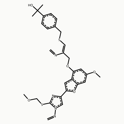 C=N/C(=C\SCc1ccc(C(C)(C)O)cc1)COc1cc(OC)cc2oc(-c3cn(N=C)c(SCOC)n3)cc12